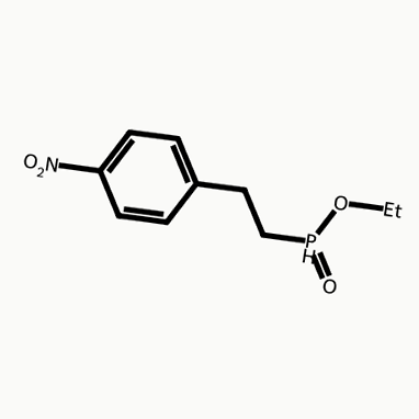 CCO[PH](=O)CCc1ccc([N+](=O)[O-])cc1